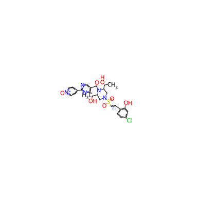 CC(O)C1CN(S(=O)(=O)/C=C/c2ccc(Cl)cc2O)CC(C(C)O)N1C(=O)c1cnc(-c2cc[n+]([O-])cc2)nc1